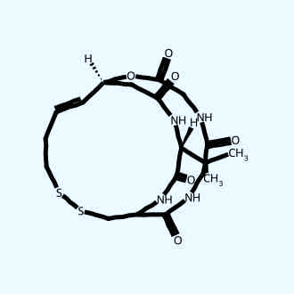 CC(C)[C@H]1NC(=O)C[C@H]2/C=C/CCSSCC(NC1=O)C(=O)NCC(=O)NCC(=O)O2